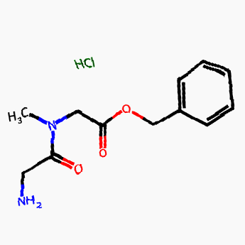 CN(CC(=O)OCc1ccccc1)C(=O)CN.Cl